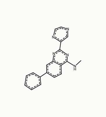 CNc1nc(-c2cnccn2)nc2cc(-c3ccccc3)ccc12